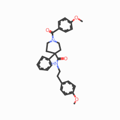 COc1ccc(CCNC(=O)C2(c3ccccc3)CCN(C(=O)c3ccc(OC)cc3)CC2)cc1